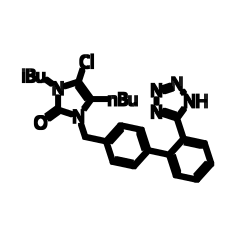 CCCCc1c(Cl)n(C(C)CC)c(=O)n1Cc1ccc(-c2ccccc2-c2nnn[nH]2)cc1